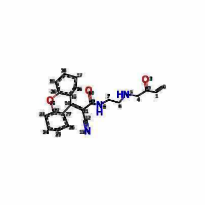 C=CC(=O)CNCCNC(=O)C(C#N)=C1c2ccccc2Oc2ccccc21